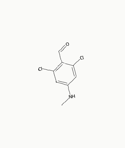 CNc1cc(Cl)c(C=O)c(Cl)c1